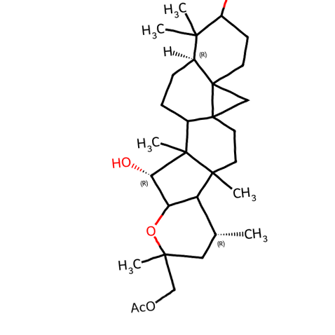 CC(=O)OCC1(C)C[C@@H](C)C2C(O1)[C@H](O)C1(C)C3CC[C@H]4C(C)(C)C(O)CCC45CC35CCC21C